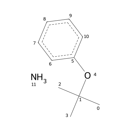 CC(C)(C)Oc1ccccc1.N